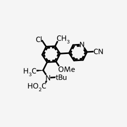 COc1c([C@H](C)N(C(=O)O)C(C)(C)C)cc(Cl)c(C)c1-c1ccc(C#N)nc1